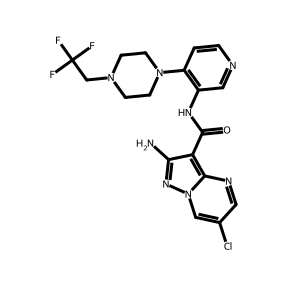 Nc1nn2cc(Cl)cnc2c1C(=O)Nc1cnccc1N1CCN(CC(F)(F)F)CC1